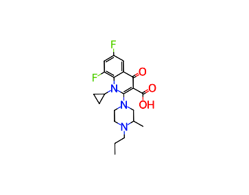 CCCN1CCN(c2c(C(=O)O)c(=O)c3cc(F)cc(F)c3n2C2CC2)CC1C